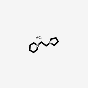 C1CCN(CCN2CCCC2)CC1.Cl